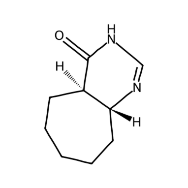 O=C1NC=N[C@@H]2CCCCC[C@@H]12